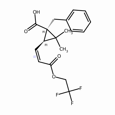 CC1(C)[C@@H](/C=C\C(=O)OCC(F)(F)F)[C@@]1(Cc1ccccc1)C(=O)O